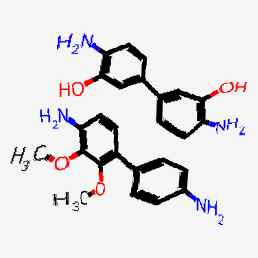 COc1c(N)ccc(-c2ccc(N)cc2)c1OC.Nc1ccc(-c2ccc(N)c(O)c2)cc1O